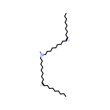 CCCCCCCC/C=C\CCCCCCCCN(C)CCCCCCCC/C=C\CCCCCCCC